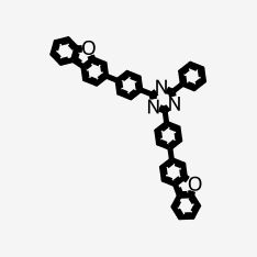 c1ccc(-c2nc(-c3ccc(-c4ccc5c(c4)oc4ccccc45)cc3)nc(-c3ccc(-c4ccc5c(c4)oc4ccccc45)cc3)n2)cc1